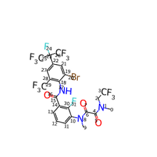 CN(CC(F)(F)F)C(=O)C(=O)N(C)c1cccc(C(=O)Nc2c(Br)cc(C(F)(C(F)(F)F)C(F)(F)F)cc2C(F)(F)F)c1F